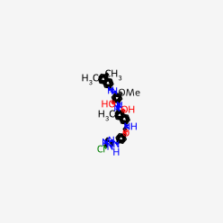 COc1cc(N=Nc2c(C)cc3cc(NCOc4ccc(Nc5ncnc(Cl)n5)cc4)ccc3c2O)c(O)cc1N=Nc1ccc2c(C)cc(C)cc2c1